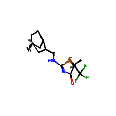 C[C@]1(C(F)(F)F)SC(NCC2C[C@@H]3CCC2C3)=NC1=O